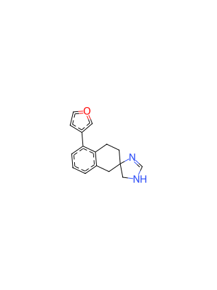 C1=NC2(CCc3c(cccc3-c3ccoc3)C2)CN1